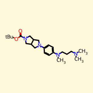 CN(C)CCCN(C)c1ccc(N2CC3CN(C(=O)OC(C)(C)C)CC3C2)cc1